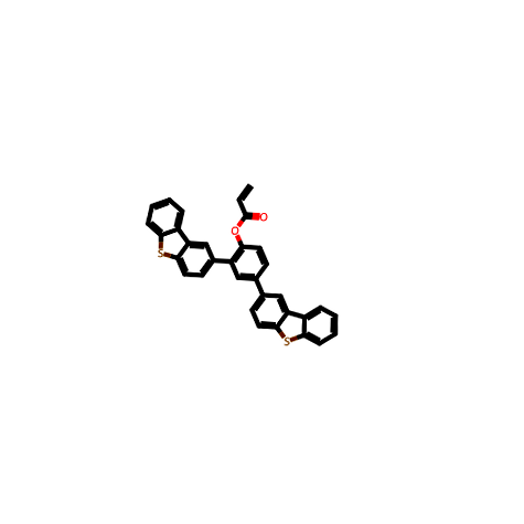 C=CC(=O)Oc1ccc(-c2ccc3sc4ccccc4c3c2)cc1-c1ccc2sc3ccccc3c2c1